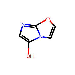 Oc1cnc2occn12